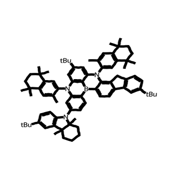 Cc1cc2c(cc1N1c3cc(N4c5ccc(C(C)(C)C)cc5C5(C)CCCCC45C)ccc3B3c4ccc5c(c4N(c4cc6c(cc4C)C(C)(C)CCC6(C)C)c4cc(C(C)(C)C)cc1c43)Cc1ccc(C(C)(C)C)cc1-5)C(C)(C)CCC2(C)C